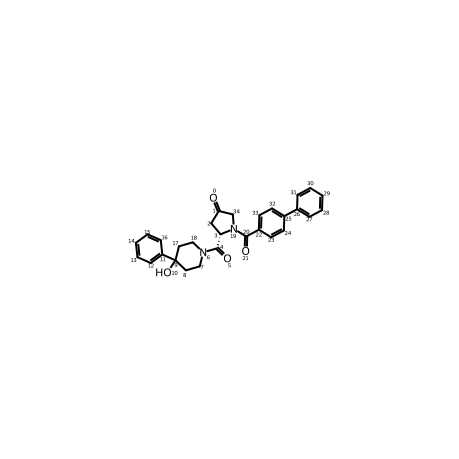 O=C1C[C@@H](C(=O)N2CCC(O)(c3ccccc3)CC2)N(C(=O)c2ccc(-c3ccccc3)cc2)C1